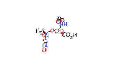 Cc1oc(-c2ccc(N3CCOCC3)cc2)nc1CCOc1ccc(OCC(=O)O)c(CCNC(=O)OC(C)C)c1